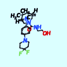 CC1(C)C[C@@H]2CN(C(=O)NCCO)C[C@H]1N(c1ccc(N3CCC(F)(F)CC3)cc1)C2